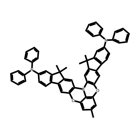 Cc1cc2c3c(c1)Oc1cc4c(cc1B3c1cc3c(cc1O2)-c1ccc(N(c2ccccc2)c2ccccc2)cc1C3(C)C)C(C)(C)c1cc(N(c2ccccc2)c2ccccc2)ccc1-4